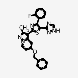 Cc1nn2ccc(OCc3ccccc3)cc2c1-c1nc(-c2ccccc2F)c(-c2nc[nH]n2)s1